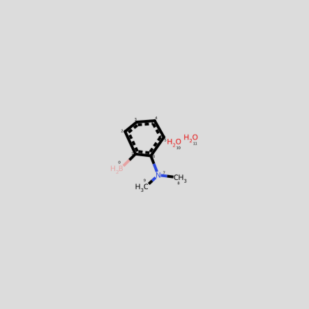 Bc1ccccc1N(C)C.O.O